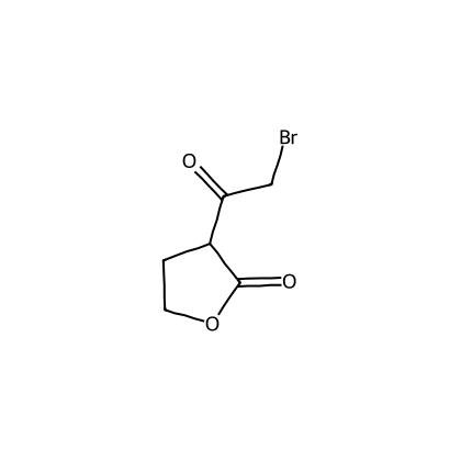 O=C(CBr)C1CCOC1=O